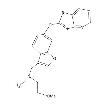 COCCN(C)Cc1coc2cc(Oc3nc4ncccc4s3)ccc12